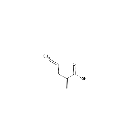 C=CCC(=C)C(=O)O.[CH3]